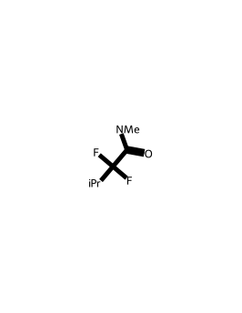 CNC(=O)C(F)(F)C(C)C